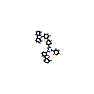 c1ccc(-c2nc(-c3ccc4c(c3)sc3c(-n5c6ccccc6c6ccccc65)cccc34)nc(-c3cccc4c3oc3ccccc34)n2)cc1